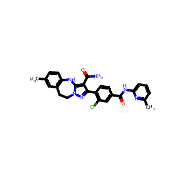 Cc1ccc2c(c1)CCn1nc(-c3ccc(C(=O)Nc4cccc(C)n4)cc3Cl)c(C(N)=O)c1N2